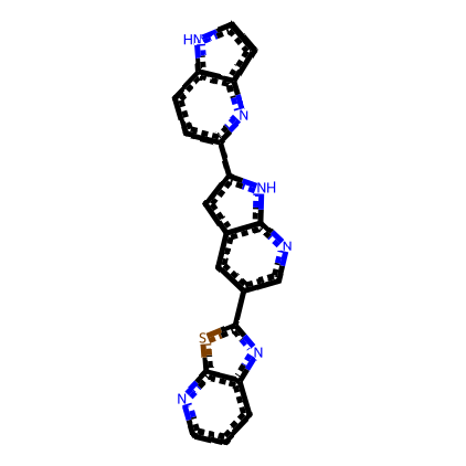 c1cnc2sc(-c3cnc4[nH]c(-c5ccc6[nH]ccc6n5)cc4c3)nc2c1